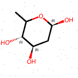 CC1O[C@@H](O)C[C@@H](O)[C@@H]1O